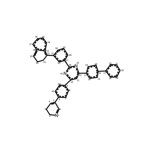 C1=NCCC=C1c1ccc(-c2cc(-c3ccc(-c4ccccc4)cc3)nc(-c3cccc(C4=c5ccccc5=CCC4)c3)n2)cc1